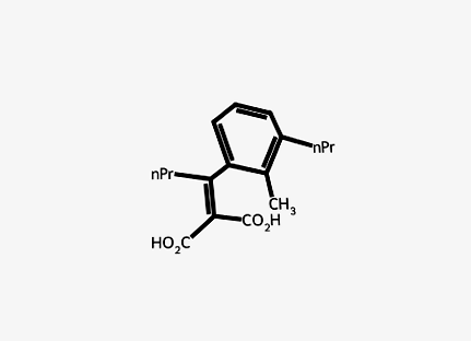 CCCC(=C(C(=O)O)C(=O)O)c1cccc(CCC)c1C